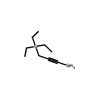 CC[Si](CC)(CC)CC#C[SiH3]